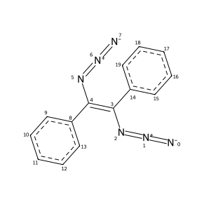 [N-]=[N+]=NC(=C(N=[N+]=[N-])c1ccccc1)c1ccccc1